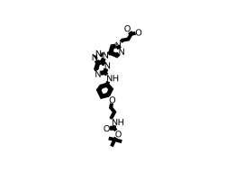 COC(=O)CCn1cc(-n2nnc3cnc(Nc4cccc(OCCCNC(=O)OC(C)(C)C)c4)nc32)cn1